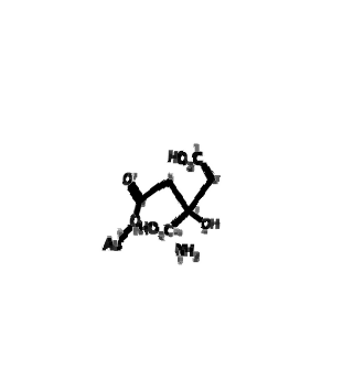 N.O=C(O)CC(O)(CC(=O)[O][Au])C(=O)O